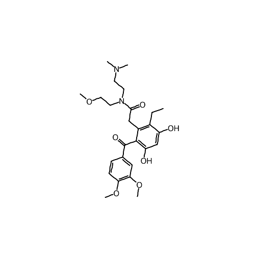 CCc1c(O)cc(O)c(C(=O)c2ccc(OC)c(OC)c2)c1CC(=O)N(CCOC)CCN(C)C